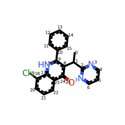 CC(c1ncccn1)c1c(-c2ccccc2)[nH]c2c(Cl)cccc2c1=O